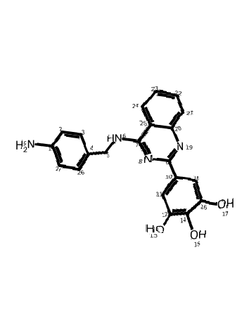 Nc1ccc(CNc2nc(-c3cc(O)c(O)c(O)c3)nc3ccccc23)cc1